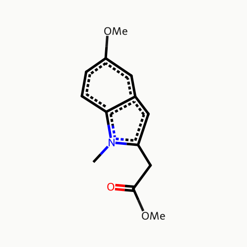 COC(=O)Cc1cc2cc(OC)ccc2n1C